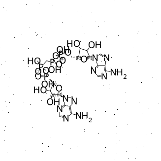 Nc1ncnc2c1ncn2[C@@H]1O[C@H](COP(=O)(O)OP(=O)(O)CP(=O)(O)OP(=O)(O)C[C@H]2O[C@@H](n3cnc4c(N)ncnc43)[C@@H](O)C2O)C(O)C1O